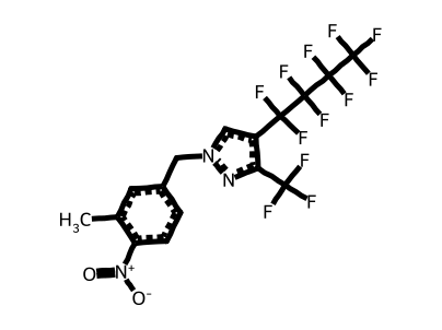 Cc1cc(Cn2cc(C(F)(F)C(F)(F)C(F)(F)C(F)(F)F)c(C(F)(F)F)n2)ccc1[N+](=O)[O-]